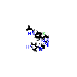 Clc1cnc(Nc2cnn(C3CCNCC3)c2)nc1-c1ccc(NCC2CC2)cc1